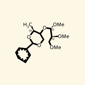 COC[C@H](OC)[C@@H](OC)OC1COC(c2ccccc2)O[C@H]1C